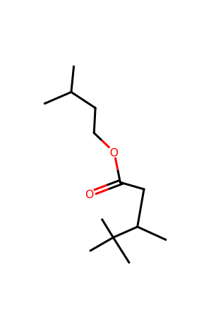 CC(C)CCOC(=O)CC(C)C(C)(C)C